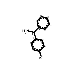 NC(c1ccc(Cl)cc1)c1ccccn1